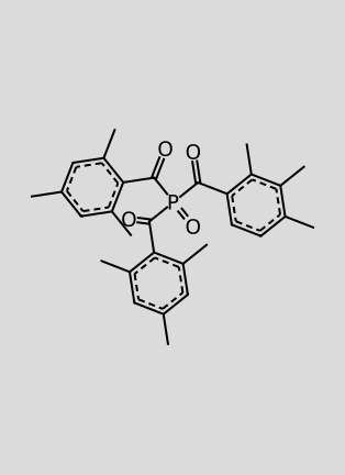 Cc1cc(C)c(C(=O)P(=O)(C(=O)c2ccc(C)c(C)c2C)C(=O)c2c(C)cc(C)cc2C)c(C)c1